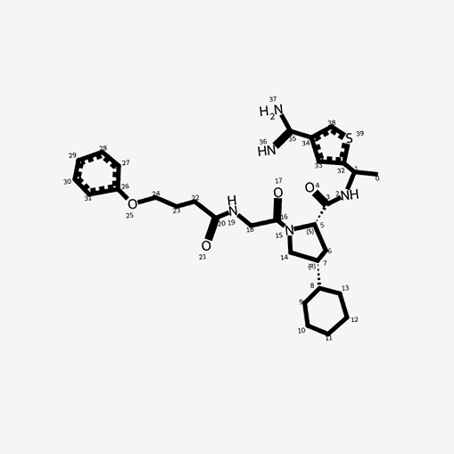 CC(NC(=O)[C@@H]1C[C@H](C2CCCCC2)CN1C(=O)CNC(=O)CCCOc1ccccc1)c1cc(C(=N)N)cs1